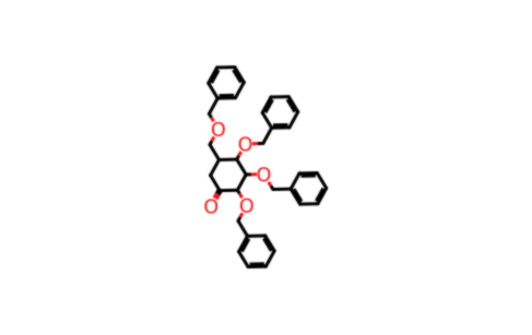 O=C1CC(COCc2ccccc2)C(OCc2ccccc2)C(OCc2ccccc2)C1OCc1ccccc1